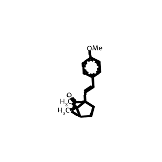 COc1ccc(C=CC23CCC(CC2=O)C3(C)C)cc1